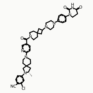 C[C@H]1CC2(CCN(c3ccc(C(=O)N4CCC5(CC4)CC(N4CCN(c6ccc(N7CCC(=O)NC7=O)cc6)CC4)C5)cn3)CC2)CN1c1ccc(C#N)c(Cl)c1